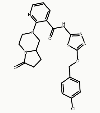 O=C(Nc1nnc(OCc2ccc(Cl)cc2)s1)c1cccnc1N1CCN2C(=O)CCC2C1